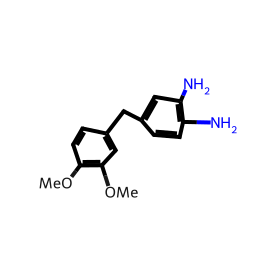 COc1ccc(Cc2ccc(N)c(N)c2)cc1OC